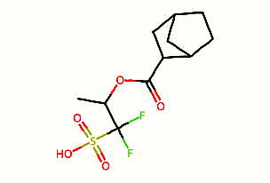 CC(OC(=O)C1CC2CCC1C2)C(F)(F)S(=O)(=O)O